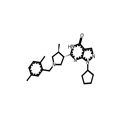 Cc1ccc(C)c(CN2C[C@@H](C)[C@H](c3nc4c(cnn4C4CCCC4)c(=O)[nH]3)C2)c1